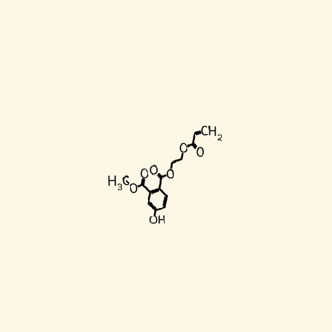 C=CC(=O)OCCOC(=O)c1ccc(O)cc1C(=O)OC